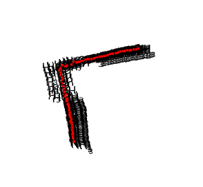 CC(=O)O.CC(=O)O.CC(=O)O.CC(=O)O.CC(=O)O.CC(=O)O.CC(=O)O.CC(=O)O.CC(=O)O.CC(=O)O.CC(=O)O.CC(=O)O.CC(=O)O.N.N.N.N.N.N.N.N.N.N.N.N.N.N.N.N.N.N.N.N.N.N.N.N.N.N.N.N.N.N.N.N.N.N.N.N.N.N.N.N.N.N.N.N.N.N.N.N.N.N.N.N.N.N.N.N.N.N.N.N.N.N.N.N.N.N.N.N.N.N.N.N.N.N.N.N.N.N.N.N.N.N.N.N.N.N.N